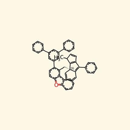 CC1C=CC2=C1[C@]1(Cc3c(-c4cc(-c5ccccc5)cc(-c5ccccc5)c4)ccc4oc5ccccc5c34)C=CC=CC1=C2c1ccccc1